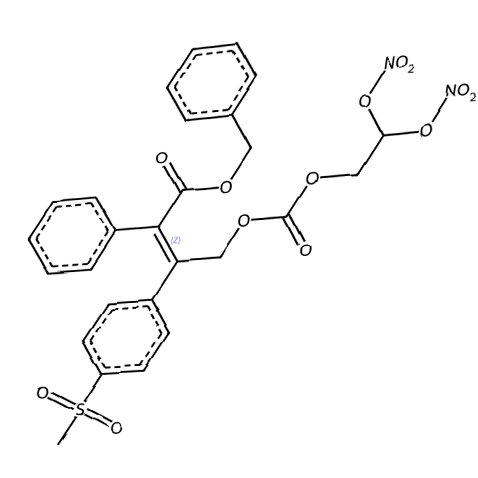 CS(=O)(=O)c1ccc(/C(COC(=O)OCC(O[N+](=O)[O-])O[N+](=O)[O-])=C(/C(=O)OCc2ccccc2)c2ccccc2)cc1